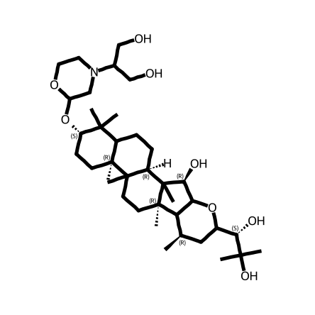 C[C@@H]1CC([C@H](O)C(C)(C)O)OC2C1[C@@]1(C)CCC34C[C@@]35CC[C@H](OC3CN(C(CO)CO)CCO3)C(C)(C)C5CC[C@H]4C1(C)[C@H]2O